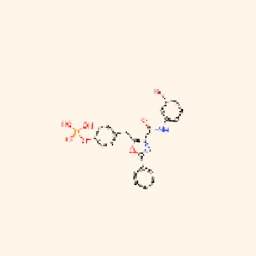 O=C(Nc1cccc(Br)c1)c1nc(-c2ccccc2)oc1Cc1ccc(OP(=O)(O)O)cc1